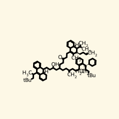 C=CCC[C@H]1C(C)=C(CCC(=O)CCC(CCC(=C)CCC(=C)C2=C([C@@H](C(=C)CC(C)(C)C)C3CC=CCC3)CCC=C2)CC(O)CCC2c3ccccc3C(C(C)CC(C)(C)C)=C3C=CCC[C@H]32)C2C=CC=C[C@H]2C1C(=C)C